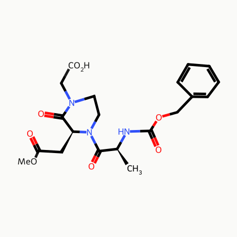 COC(=O)C[C@H]1C(=O)N(CC(=O)O)CCN1C(=O)[C@H](C)NC(=O)OCc1ccccc1